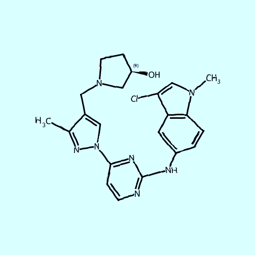 Cc1nn(-c2ccnc(Nc3ccc4c(c3)c(Cl)cn4C)n2)cc1CN1CC[C@@H](O)C1